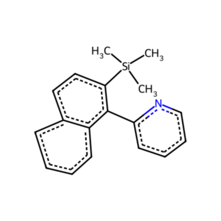 C[Si](C)(C)c1ccc2ccccc2c1-c1ccccn1